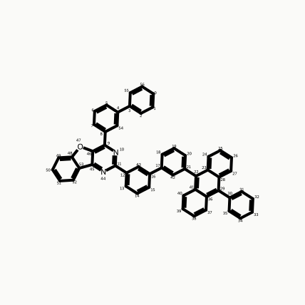 c1ccc(-c2cccc(-c3nc(-c4cccc(-c5cccc(-c6c7ccccc7c(-c7ccccc7)c7ccccc67)c5)c4)nc4c3oc3ccccc34)c2)cc1